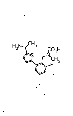 CC(N)c1ccc(-c2cccc(F)c2CN(C)C(=O)O)s1